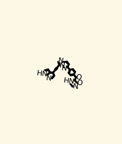 CN1CCNC(C(=O)c2ccc(-c3ccc4ncc(C#Cc5ccnc6[nH]ccc56)n4n3)cc2)C1=O